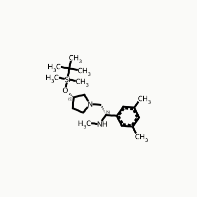 CN[C@H](CN1CC[C@H](O[Si](C)(C)C(C)(C)C)C1)c1cc(C)cc(C)c1